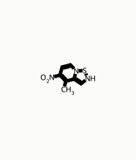 CC1=C([N+](=O)[O-])C=CN2SNC=C12